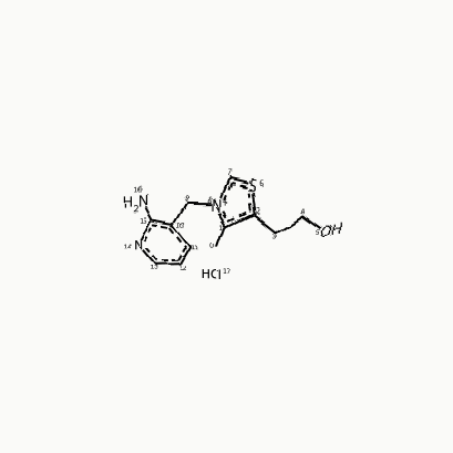 Cc1c(CCO)sc[n+]1Cc1cccnc1N.Cl